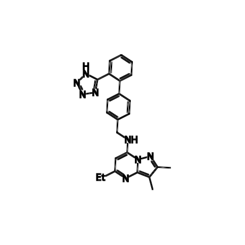 CCc1cc(NCc2ccc(-c3ccccc3-c3nnn[nH]3)cc2)n2nc(C)c(C)c2n1